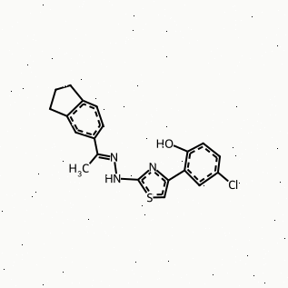 C/C(=N\Nc1nc(-c2cc(Cl)ccc2O)cs1)c1ccc2c(c1)CCC2